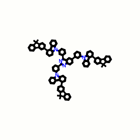 CC1(C)c2ccccc2-c2cc(-c3cccc4c3c3ccccc3n4-c3cccc(-c4ccc5nc(-c6cccc(-n7c8ccccc8c8c(-c9ccc%10c(c9)-c9ccccc9C%10(C)C)cccc87)c6)nc(-c6cccc(-n7c8ccccc8c8c(-c9ccc%10c(c9)-c9ccccc9C%10(C)C)cccc87)c6)c5c4)c3)ccc21